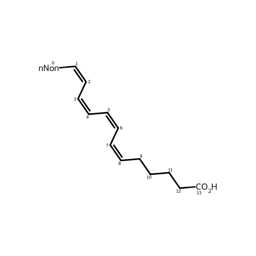 CCCCCCCCC\C=C/C=C\C=C/C=C\CCCCC(=O)O